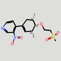 C[C@@H]1C=C(c2ccncc2[N+](=O)[O-])C[C@H](C)[C@@H]1OCCS(C)(=O)=O